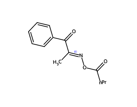 CCCC(=O)O/N=C(\C)C(=O)c1ccccc1